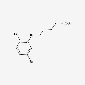 CCCCCCCCCCCCNc1cc(Br)ccc1Br